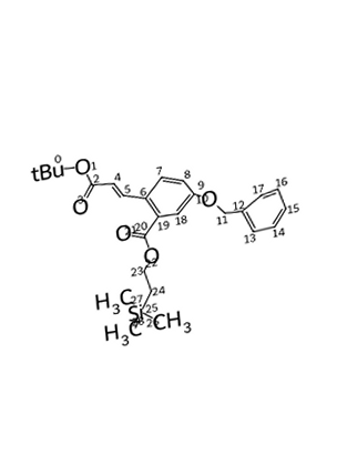 CC(C)(C)OC(=O)/C=C/c1ccc(OCc2ccccc2)cc1C(=O)OCC[Si](C)(C)C